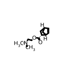 CN(C)CCOC(=O)[C@@H]1C[C@@H]2C=C[C@H]1C2